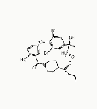 CCOC(=O)C1CCN(C(=O)c2cc(Oc3c(Br)cc(C(C)(O)[PH2]=O)cc3Br)ccc2O)CC1